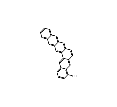 Oc1cccc2cc3c(ccc4cc5cc6ccccc6cc5cc43)cc12